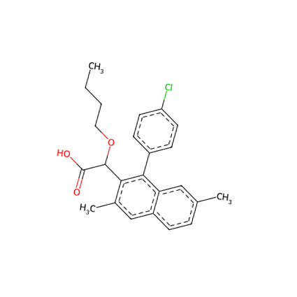 CCCCOC(C(=O)O)c1c(C)cc2ccc(C)cc2c1-c1ccc(Cl)cc1